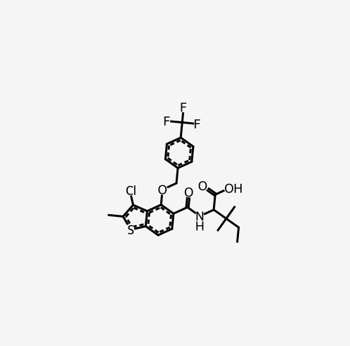 CCC(C)(C)C(NC(=O)c1ccc2sc(C)c(Cl)c2c1OCc1ccc(C(F)(F)F)cc1)C(=O)O